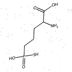 NC(CCCP(=O)(O)S)C(=O)O